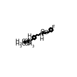 CC(C)(C)OC(=O)NCc1ccc(CCCNC(=O)COCc2ccc(F)cc2)cc1